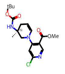 COC(=O)c1cnc(Cl)cc1N1C=CC[C@](C)(NC(=O)OC(C)(C)C)C1